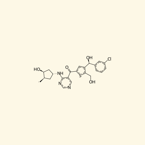 [CH2][C@@H]1C[C@@H](Nc2ncncc2C(=O)c2cc([C@@H](O)c3cccc(Cl)c3)c(CO)s2)C[C@@H]1O